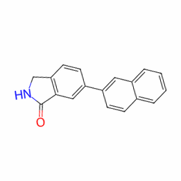 O=C1NCc2ccc(-c3ccc4ccccc4c3)cc21